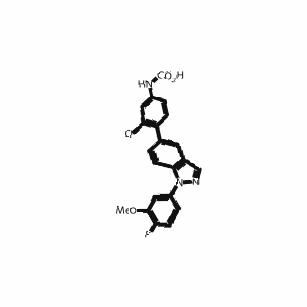 COc1cc(-n2ncc3cc(-c4ccc(NC(=O)O)cc4Cl)ccc32)ccc1F